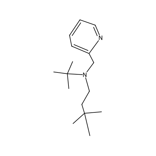 CC(C)(C)CCN(Cc1ccccn1)C(C)(C)C